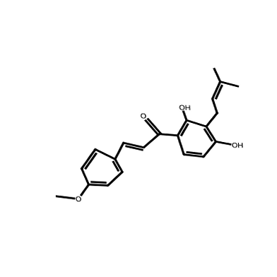 COc1ccc(/C=C/C(=O)c2ccc(O)c(CC=C(C)C)c2O)cc1